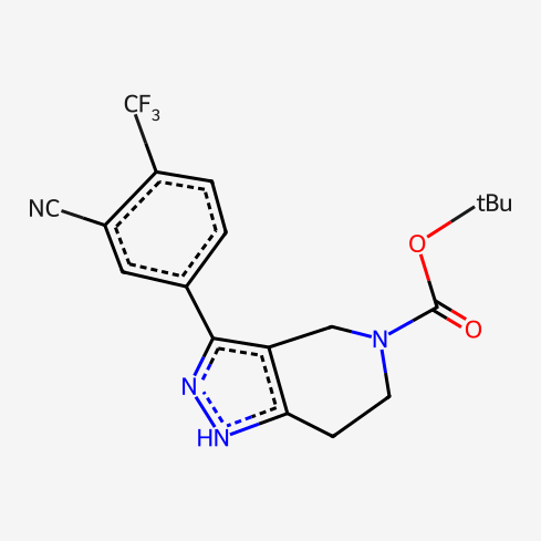 CC(C)(C)OC(=O)N1CCc2[nH]nc(-c3ccc(C(F)(F)F)c(C#N)c3)c2C1